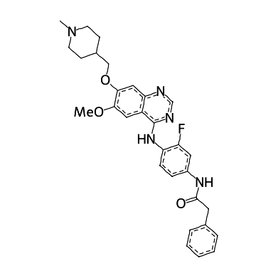 COc1cc2c(Nc3ccc(NC(=O)Cc4ccccc4)cc3F)ncnc2cc1OCC1CCN(C)CC1